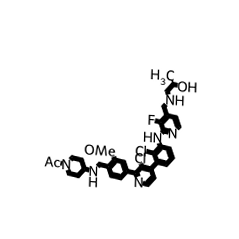 COc1cc(-c2nccc(-c3cccc(Nc4nccc(CNC[C@H](C)O)c4F)c3Cl)c2Cl)ccc1CNC1CCN(C(C)=O)CC1